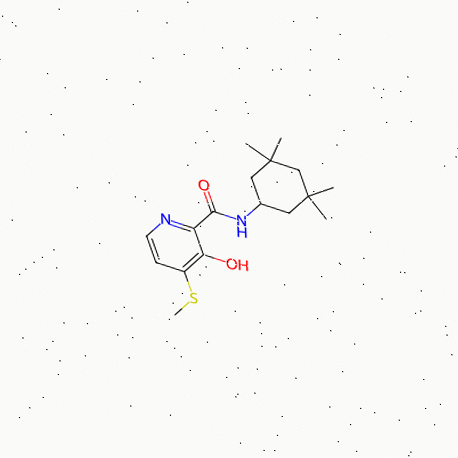 CSc1ccnc(C(=O)NC2CC(C)(C)CC(C)(C)C2)c1O